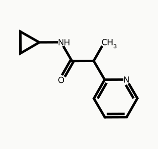 CC(C(=O)NC1CC1)c1ccccn1